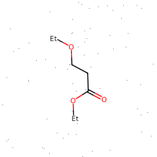 CCO[CH]CC(=O)OCC